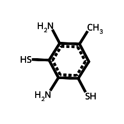 Cc1cc(S)c(N)c(S)c1N